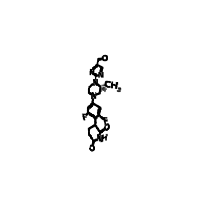 C[C@@H]1CN(c2cc(F)c(C3CCC(=O)NC3=O)c(F)c2)CCN1c1ncc(C=O)cn1